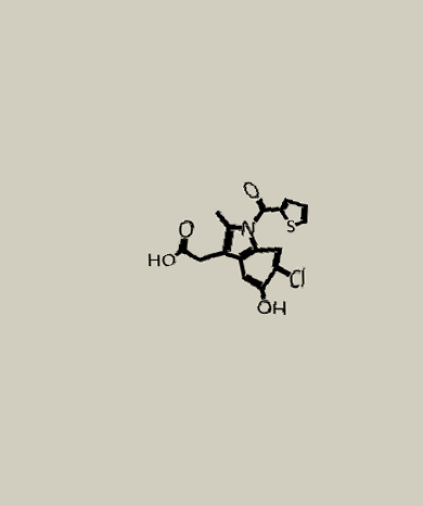 Cc1c(CC(=O)O)c2cc(O)c(Cl)cc2n1C(=O)c1cccs1